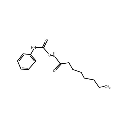 CCCCCCCC(=O)NOC(=O)Nc1ccccc1